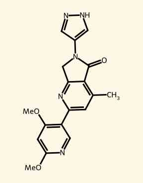 COc1cc(OC)c(-c2cc(C)c3c(n2)CN(c2cn[nH]c2)C3=O)cn1